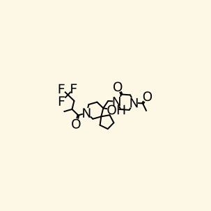 CC(=O)N1CCN(CC2(O)CCN(C(=O)C(C)CC(F)(F)F)CC23CCCC3)C(=O)C1